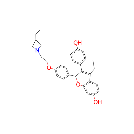 CCC1=C(c2ccc(O)cc2)C(c2ccc(OCCN3CC(CC)C3)cc2)Oc2cc(O)ccc21